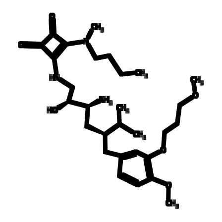 CCCCN(C)c1c(NC[C@H](O)[C@@H](N)C[C@H](Cc2ccc(OC)c(OCCCOC)c2)C(C)C)c(=O)c1=O